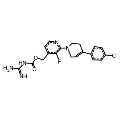 N=C(N)NC(=O)OCc1ccnc(N2CC=C(c3ccc(Cl)cc3)CC2)c1F